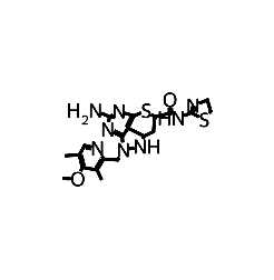 COc1c(C)cnc(CN2NC3CC(C(=O)NC4=NCCS4)Sc4nc(N)nc2c43)c1C